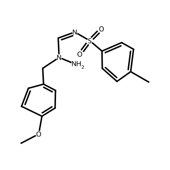 COc1ccc(CN(N)/C=N\S(=O)(=O)c2ccc(C)cc2)cc1